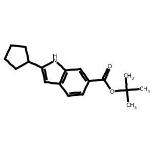 CC(C)(C)OC(=O)c1ccc2cc(C3CCCC3)[nH]c2c1